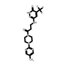 Cc1cnc(N2CCN(C(=O)CCNc3cc(C(F)(F)F)c(=O)[nH]n3)CC2)nc1